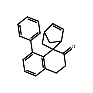 O=C1CCc2cccc(-c3ccccc3)c2C12CC1C=CC2C1